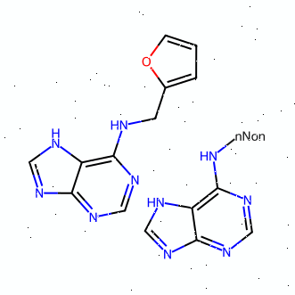 CCCCCCCCCNc1ncnc2nc[nH]c12.c1coc(CNc2ncnc3nc[nH]c23)c1